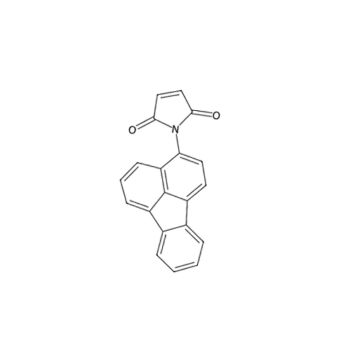 O=C1C=CC(=O)N1c1ccc2c3c(cccc13)-c1ccccc1-2